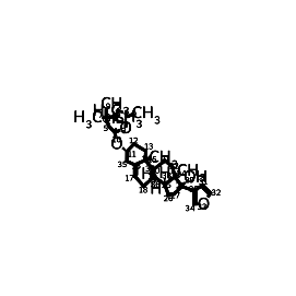 C[SiH](C)OC(CC(C)(C)C)O[C@H]1CC[C@@]2(C)C(=CC[C@@H]3[C@@H]2CC[C@@]2(C)[C@H]3CC[C@@]2(O)c2ccoc2)C1